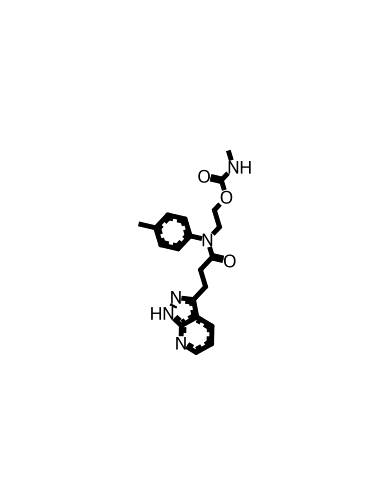 CNC(=O)OCCN(C(=O)CCc1n[nH]c2ncccc12)c1ccc(C)cc1